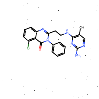 N#Cc1cnc(N)nc1NCCc1nc2cccc(Cl)c2c(=O)n1-c1ccccc1